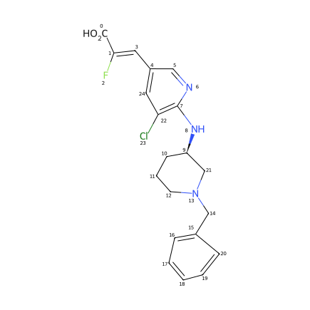 O=C(O)/C(F)=C/c1cnc(N[C@@H]2CCCN(Cc3ccccc3)C2)c(Cl)c1